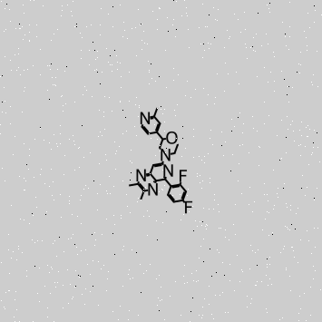 Cc1cc(C2CN(c3cc4nc(C)c(C)nc4c(-c4ccc(F)cc4F)n3)CCO2)ccn1